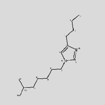 CCCCc1cn(CCCCCC(C)C)nn1